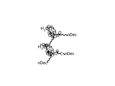 CCCCCCCCCCCCCCCC(=O)OCC(COP(=O)(O)OCC[N+](C)(C)C)OC(=O)CCCCCCCCCCCCCCC.CCCCCCCCCCCCCCCC(=O)OC[C@H](COP(=O)(O)OCC[N+](C)(C)C)OC(=O)CCCCCCCCCCCCCCC